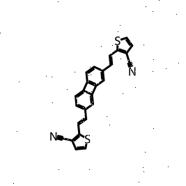 N#Cc1ccsc1/C=C/c1ccc2c(c1)-c1cc(/C=C/c3sccc3C#N)ccc1-2